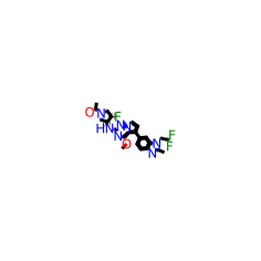 COc1nc(N[C@@H]2CN(C(C)=O)C[C@@H]2F)nn2ccc(-c3ccc4nc(C)n(CC(F)F)c4c3)c12